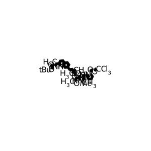 CO[C@H](C)[C@H](OC(=O)C(C)(C)/C=C/c1ccc2ccc([C@@H](C)NC(=O)OC(C)(C)C)nc2c1)C(=O)N[C@@H](C)C(=O)N1CCC[C@@H](C(=O)OCC(Cl)(Cl)Cl)N1